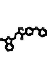 CN(CCC1OC(=O)c2ccccc21)C(=O)c1ccc(Oc2ccccn2)cc1